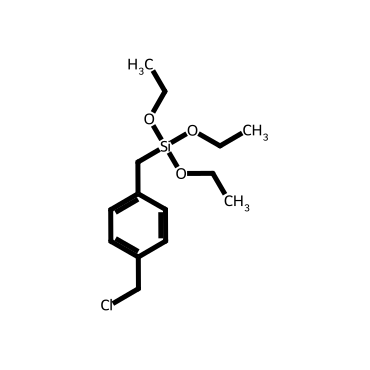 CCO[Si](Cc1ccc(CCl)cc1)(OCC)OCC